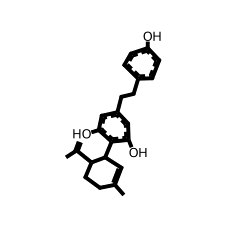 C=C(C)C1CCC(C)=CC1c1c(O)cc(CCc2ccc(O)cc2)cc1O